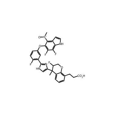 C[S+]([O-])c1c(Oc2ccc(F)c(-c3nc(C4(C)c5cccc(CCC(=O)O)c5OCC4F)c[nH]3)c2)c(F)c(F)c2[nH]ccc12